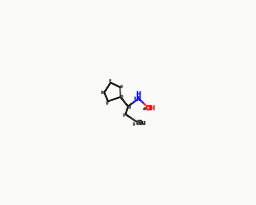 CC(C)(C)CC(NO)C1CCCC1